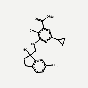 COC(=O)c1nc(C2CC2)nc(NCC2(O)CCc3ccc(C)cc32)c1Cl